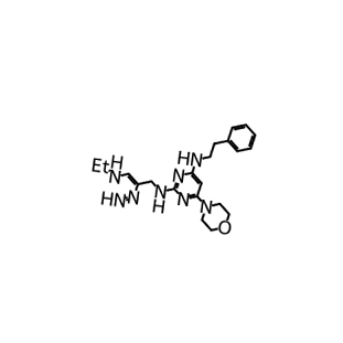 CCN/C=C(/CNc1nc(NCCc2ccccc2)cc(N2CCOCC2)n1)N=N